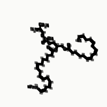 CC/C=C\C/C=C\C/C=C\C/C=C\CCCCC(=O)OC[C@H](COP(=O)(O)OC[C@H](N)C(=O)O)OC(=O)CCCCC/C=C\C/C=C\C/C=C\C/C=C\CCCCC